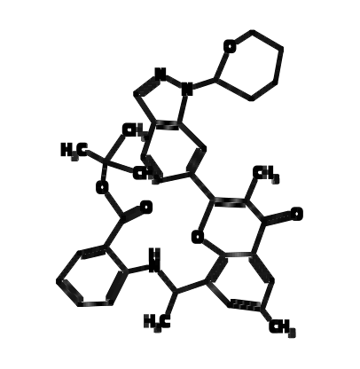 Cc1cc(C(C)Nc2ccccc2C(=O)OC(C)(C)C)c2oc(-c3ccc4cnn(C5CCCCO5)c4c3)c(C)c(=O)c2c1